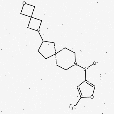 [O-][S+](c1coc(C(F)(F)F)c1)N1CCC2(CCC(N3CC4(COC4)C3)C2)CC1